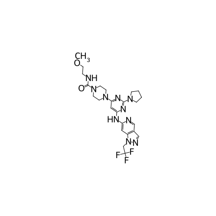 COCCNC(=O)N1CCN(c2cc(Nc3cc4c(cn3)cnn4CC(F)(F)F)nc(N3CCCC3)n2)CC1